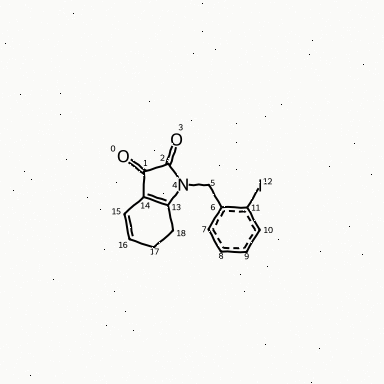 O=C1C(=O)N(Cc2ccccc2I)C2=C1C=CCC2